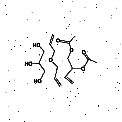 C=CC(COC(C)=O)OC(C)=O.C=CCOCC=C.OCC(O)CO